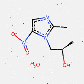 Cc1ncc([N+](=O)[O-])n1C[C@@H](C)O.O